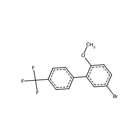 COc1ccc(Br)cc1-c1ccc(C(F)(F)F)cc1